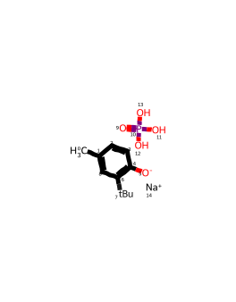 Cc1ccc([O-])c(C(C)(C)C)c1.O=P(O)(O)O.[Na+]